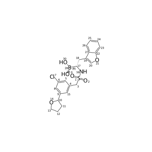 O=S(=O)(Cc1cc(Cl)cc(C2CCCO2)c1)N[C@@H](Cc1coc2ccccc12)B(O)O